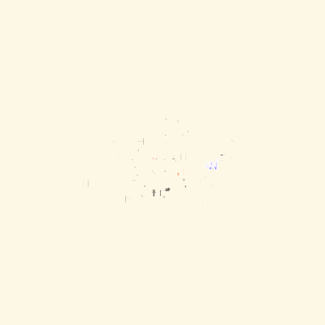 CCCC1C(C)C1(C)c1cc(C)cc(C(CC)(CC)Pc2c(C)cccc2/C=N/c2ccccc2)c1OCc1ccccc1